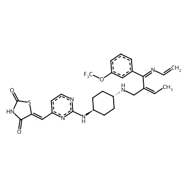 C=C/N=C(\C(=C/C)CN[C@H]1CC[C@H](Nc2nccc(/C=C3\SC(=O)NC3=O)n2)CC1)c1cccc(OC(F)(F)F)c1